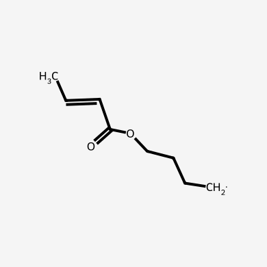 [CH2]CCCOC(=O)C=CC